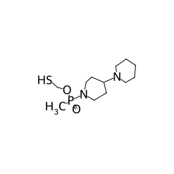 CP(=O)(OCS)N1CCC(N2CCCCC2)CC1